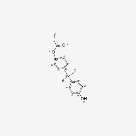 CCC(=O)Oc1ccc(C(C)(C)c2ccc(O)cc2)cc1